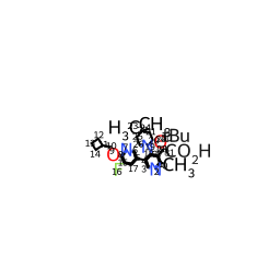 Cc1ncc(-c2cnc(OCC3CCC3)c(F)c2)c(N2CCC(C)(C)CC2)c1[C@H](OC(C)(C)C)C(=O)O